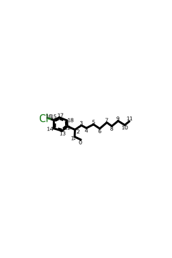 C[CH]C(CCCCCCCCC)c1ccc(Cl)cc1